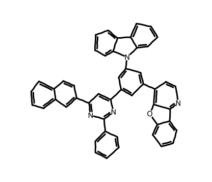 c1ccc(-c2nc(-c3cc(-c4ccnc5c4oc4ccccc45)cc(-n4c5ccccc5c5ccccc54)c3)cc(-c3ccc4ccccc4c3)n2)cc1